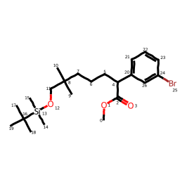 COC(=O)C(CCCC(C)(C)CO[Si](C)(C)C(C)(C)C)c1cccc(Br)c1